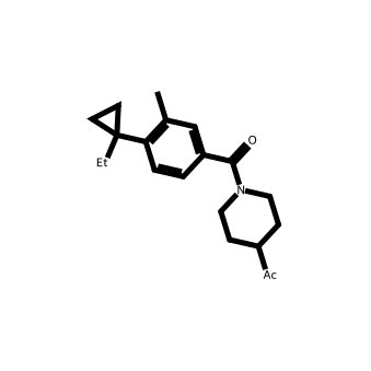 CCC1(c2ccc(C(=O)N3CCC(C(C)=O)CC3)cc2C)CC1